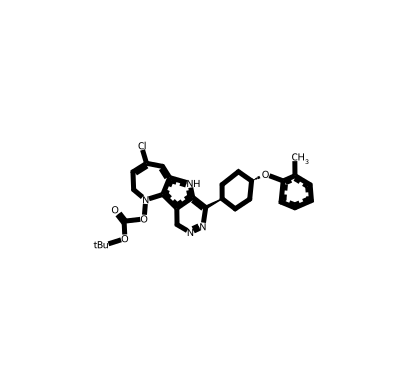 Cc1ccccc1O[C@H]1CC[C@H](C2=c3[nH]c4c(c3CN=N2)N(OC(=O)OC(C)(C)C)CC=C(Cl)C=4)CC1